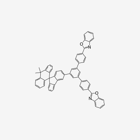 CC1(C)c2ccccc2C2(c3ccccc3-c3cc(-c4cc(-c5ccc(-c6nc7ccccc7o6)cc5)cc(-c5ccc(-c6nc7ccccc7o6)cc5)c4)ccc32)c2ccccc21